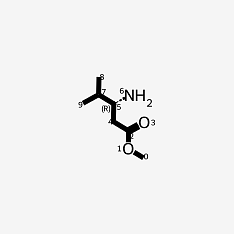 COC(=O)C[C@@H](N)C(C)C